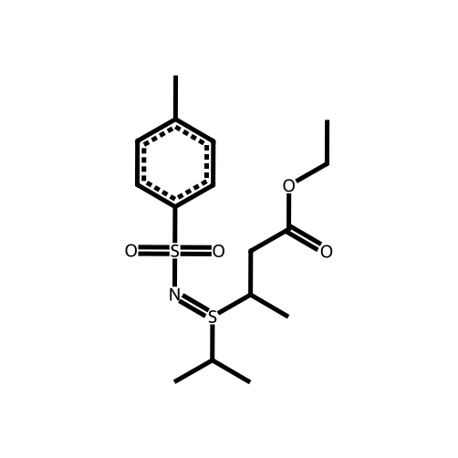 CCOC(=O)CC(C)S(=NS(=O)(=O)c1ccc(C)cc1)C(C)C